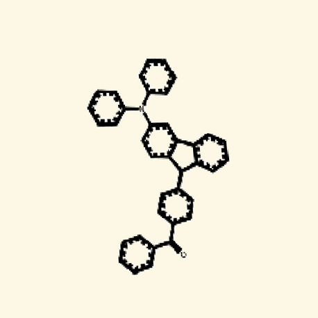 O=C(c1ccccc1)c1ccc(C2c3ccccc3-c3cc(N(c4ccccc4)c4ccccc4)ccc32)cc1